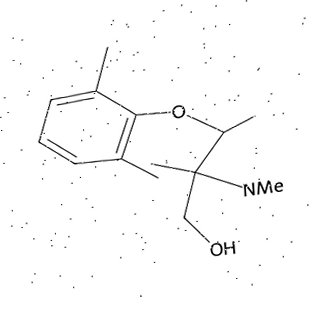 CNC(C)(CO)C(C)Oc1c(C)cccc1C